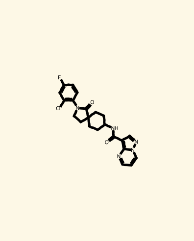 O=C(NC1CCC2(CC1)CCN(c1ccc(F)cc1Cl)C2=O)c1cnn2cccnc12